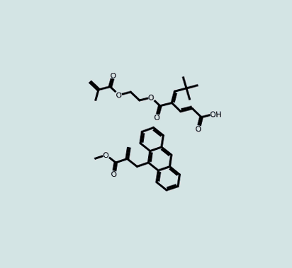 C=C(C)C(=O)OCCOC(=O)C(C=CC(=O)O)=CC(C)(C)C.C=C(Cc1c2ccccc2cc2ccccc12)C(=O)OC